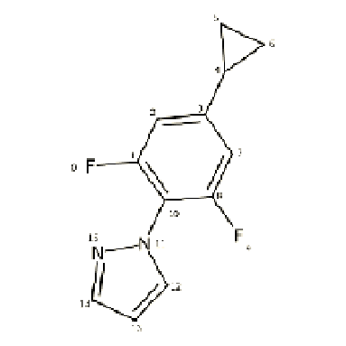 Fc1cc(C2CC2)cc(F)c1-n1cccn1